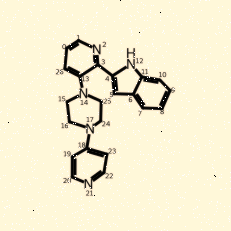 c1cnc(-c2cc3ccccc3[nH]2)c(N2CCN(c3ccncc3)CC2)c1